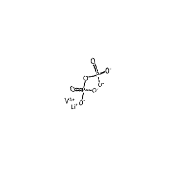 O=P([O-])([O-])OP(=O)([O-])[O-].[Li+].[V+5]